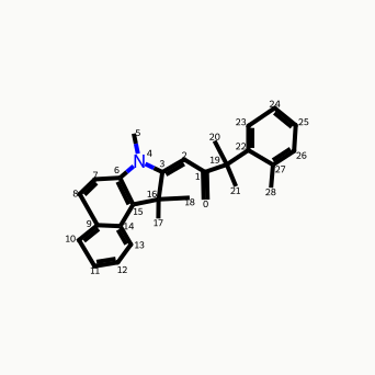 C=C(/C=C1/N(C)c2ccc3ccccc3c2C1(C)C)C(C)(C)c1ccccc1C